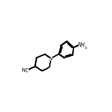 N#CC1CCN(c2ccc(N)cc2)CC1